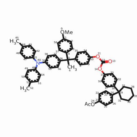 COc1ccc(C(C)(c2ccc(OC(=O)Oc3ccc(C4(c5ccc(OC(C)=O)cc5)CCCCC4)cc3)cc2)c2ccc(N(c3ccc(C)cc3)c3ccc(C)cc3)cc2)cc1